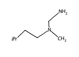 CC(C)CCN(C)CN